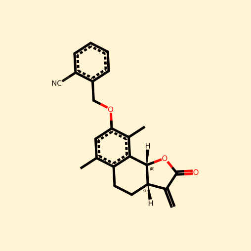 C=C1C(=O)O[C@H]2c3c(C)c(OCc4ccccc4C#N)cc(C)c3CC[C@@H]12